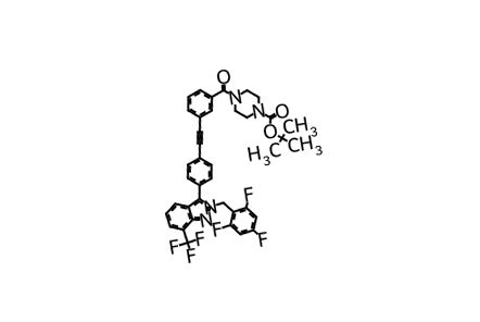 CC(C)(C)OC(=O)N1CCN(C(=O)c2cccc(C#Cc3ccc(-c4c5cccc(C(F)(F)F)c5nn4Cc4c(F)cc(F)cc4F)cc3)c2)CC1